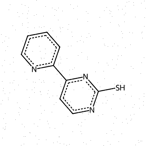 Sc1nccc(-c2ccccn2)n1